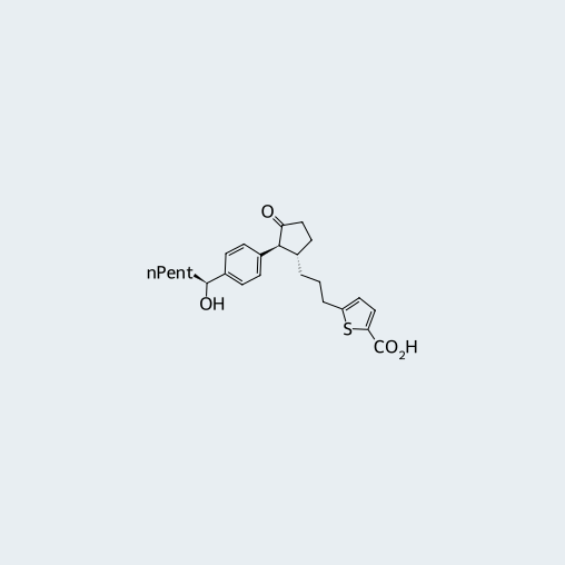 CCCCC[C@H](O)c1ccc([C@H]2C(=O)CC[C@@H]2CCCc2ccc(C(=O)O)s2)cc1